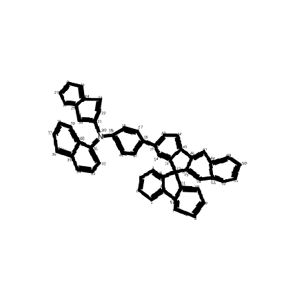 c1ccc2c(c1)-c1ccccc1C21c2cc(-c3ccc(N(c4ccc5ccccc5c4)c4cccc5ccccc45)cc3)ccc2-c2cc3ccccc3cc21